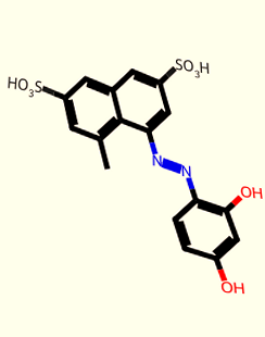 Cc1cc(S(=O)(=O)O)cc2cc(S(=O)(=O)O)cc(N=Nc3ccc(O)cc3O)c12